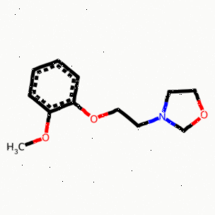 COc1ccccc1OCCN1CCOC1